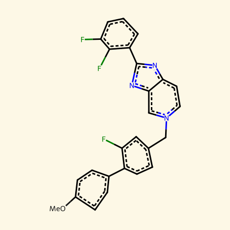 COc1ccc(-c2ccc(Cn3ccc4nc(-c5cccc(F)c5F)nc-4c3)cc2F)cc1